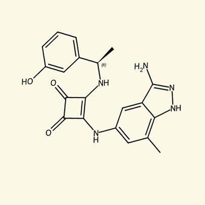 Cc1cc(Nc2c(N[C@H](C)c3cccc(O)c3)c(=O)c2=O)cc2c(N)n[nH]c12